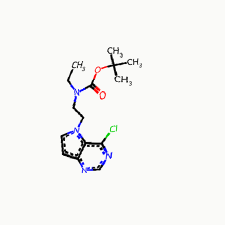 CCN(CCn1ccc2ncnc(Cl)c21)C(=O)OC(C)(C)C